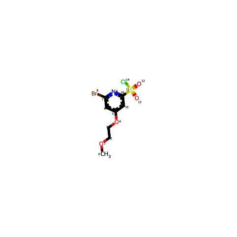 COCCOc1cc(Br)nc(S(=O)(=O)Cl)c1